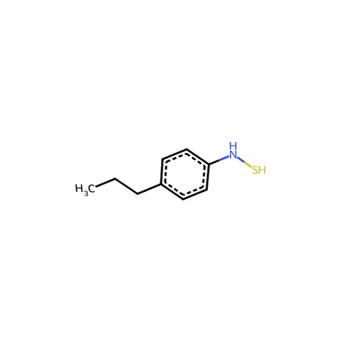 CCCc1ccc(NS)cc1